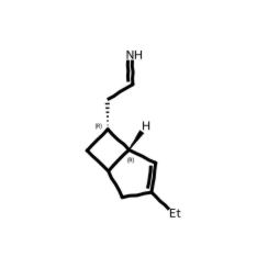 CCC1=C[C@@H]2C(C1)C[C@@H]2CC=N